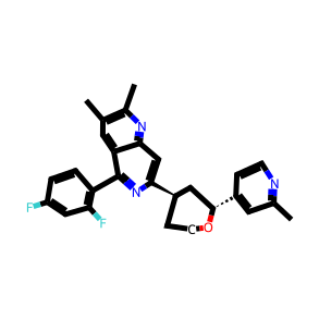 Cc1cc([C@H]2C[C@H](c3cc4nc(C)c(C)cc4c(-c4ccc(F)cc4F)n3)CCO2)ccn1